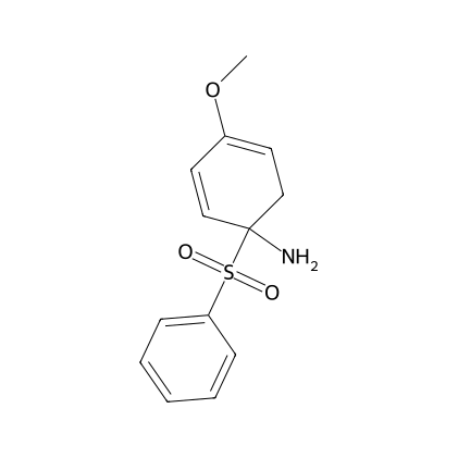 COC1=CCC(N)(S(=O)(=O)c2ccccc2)C=C1